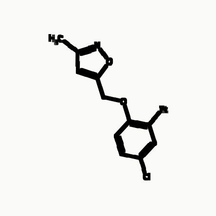 CCc1cc(Cl)ccc1OCc1cc(C)no1